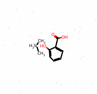 C[SiH2]C.O=C(O)c1ccccc1O